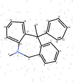 CN1Cc2ccccc2C(C)(c2ccccc2)c2ccccc21